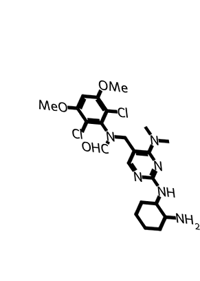 COc1cc(OC)c(Cl)c(N(C=O)Cc2cnc(NC3CCCCC3N)nc2N(C)C)c1Cl